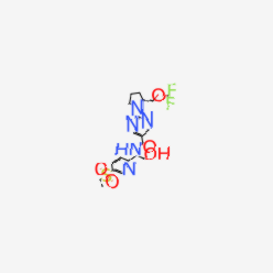 CCS(=O)(=O)c1ccc([C@H](CO)NC(=O)c2cnc(N3CCC[C@H]3COC(F)F)nc2)nc1